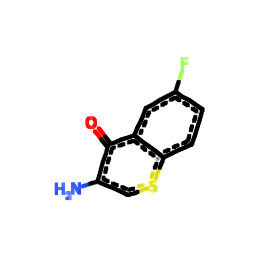 Nc1csc2ccc(F)cc2c1=O